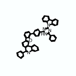 c1ccc(C2=NC(n3c4ccccc4c4ccccc43)=NC(c3ccc(-c4cccc5c4oc4c5ccc5c(-c6ccccc6)nc6ccccc6c54)cc3)N2)cc1